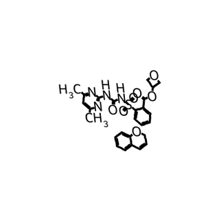 C1=Cc2ccccc2OC1.Cc1cc(C)nc(NC(=O)NS(=O)(=O)c2ccccc2C(=O)OC2COC2)n1